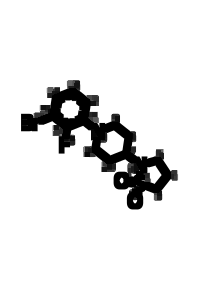 O=S1(=O)CCCN1C1CCN(c2cccc(Br)c2F)CC1